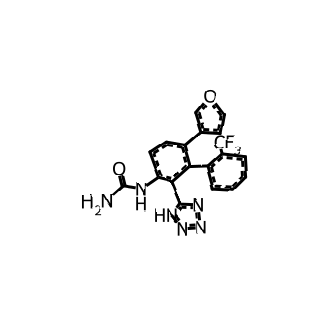 NC(=O)Nc1ccc(-c2ccoc2)c(-c2ccccc2C(F)(F)F)c1-c1nnn[nH]1